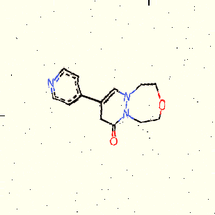 O=C1CC(c2ccncc2)=CN2CCOCCN12